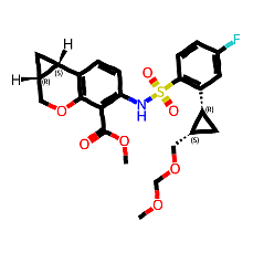 COCOC[C@H]1C[C@H]1c1cc(F)ccc1S(=O)(=O)Nc1ccc2c(c1C(=O)OC)OC[C@@H]1C[C@H]21